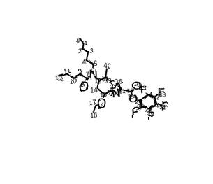 CCCCCCN(C(=O)CCCC)C(CC(OCC)c1nc(C(=O)Oc2c(F)c(F)c(F)c(F)c2F)cs1)C(C)C